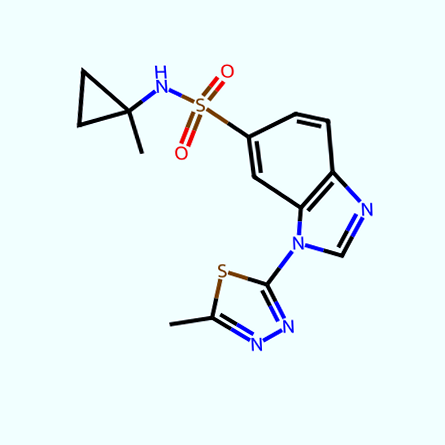 Cc1nnc(-n2cnc3ccc(S(=O)(=O)NC4(C)CC4)cc32)s1